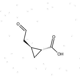 O=CC[C@@H]1C[C@H]1C(=O)O